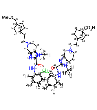 [2H]c1c([2H])c(NC(=O)c2nc3c(n2C([2H])([2H])[2H])CCN(CCC24CCC(COC)(CC2)C4)C3)c(Cl)c(-c2c([2H])c([2H])c([2H])c(NC(=O)c3nc4c(n3C([2H])([2H])[2H])CCN(CCC35CCC(C(=O)O)(CC3)C5)C4)c2Cl)c1[2H]